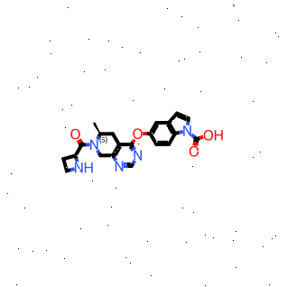 C[C@H]1Cc2c(ncnc2Oc2ccc3c(ccn3C(=O)O)c2)CN1C(=O)C1CCN1